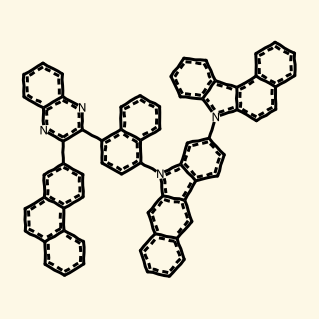 c1ccc2cc3c(cc2c1)c1ccc(-n2c4ccccc4c4c5ccccc5ccc42)cc1n3-c1ccc(-c2nc3ccccc3nc2-c2ccc3c(ccc4ccccc43)c2)c2ccccc12